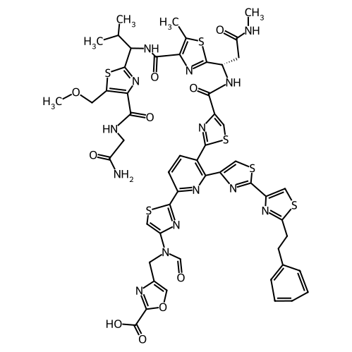 CNC(=O)C[C@H](NC(=O)c1csc(-c2ccc(-c3nc(N(C=O)Cc4coc(C(=O)O)n4)cs3)nc2-c2csc(-c3csc(CCc4ccccc4)n3)n2)n1)c1nc(C(=O)NC(c2nc(C(=O)NCC(N)=O)c(COC)s2)C(C)C)c(C)s1